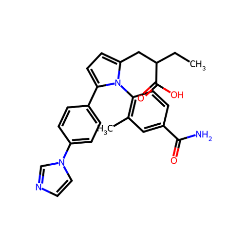 CCC(Cc1ccc(-c2ccc(-n3ccnc3)cc2)n1-c1ccc(C(N)=O)cc1C)C(=O)O